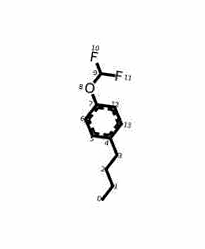 CCCCc1c[c]c(OC(F)F)cc1